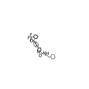 O=C(NCCCC1CCCCC1)c1ccc(N2CCN(C(=O)c3ccccc3C(F)(F)F)CC2)cn1